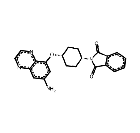 Nc1cc(O[C@H]2CC[C@@H](N3C(=O)c4ccccc4C3=O)CC2)c2nccnc2c1